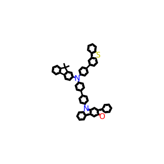 CC1(C)c2ccccc2-c2ccc(N(c3ccc(-c4ccc(-n5c6ccccc6c6cc7oc8ccccc8c7cc65)cc4)cc3)c3ccc(-c4ccc5sc6ccccc6c5c4)cc3)cc21